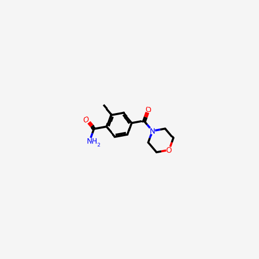 Cc1cc(C(=O)N2CCOCC2)ccc1C(N)=O